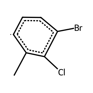 Cc1[c]ccc(Br)c1Cl